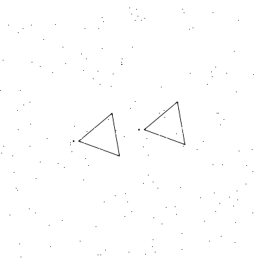 [CH]1CC1.[CH]1CC1